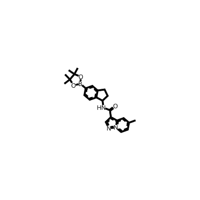 Cc1ccn2ncc(C(=O)NC3CCc4cc(B5OC(C)(C)C(C)(C)O5)ccc43)c2c1